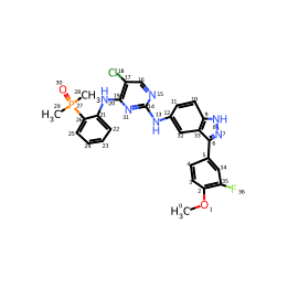 COc1ccc(-c2n[nH]c3ccc(Nc4ncc(Cl)c(Nc5ccccc5P(C)(C)=O)n4)cc23)cc1F